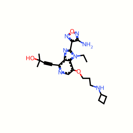 CCn1c(-c2nonc2N)nc2c(C#CC(C)(C)O)ncc(OCCCNC3CCC3)c21